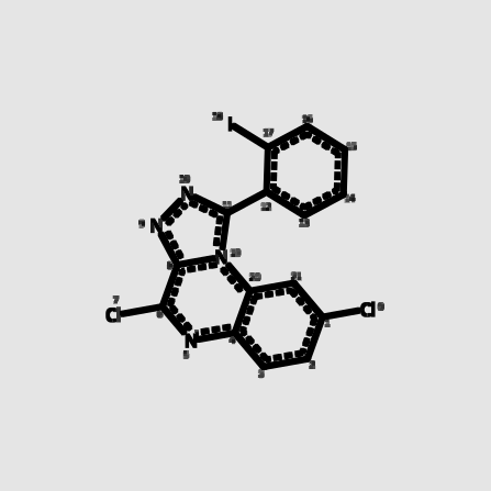 Clc1ccc2nc(Cl)c3nnc(-c4ccccc4I)n3c2c1